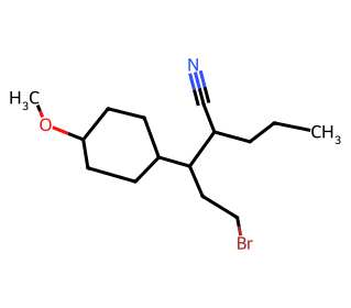 CCCC(C#N)C(CCBr)C1CCC(OC)CC1